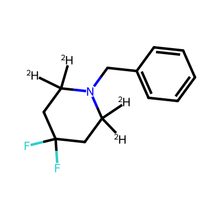 [2H]C1([2H])CC(F)(F)CC([2H])([2H])N1Cc1ccccc1